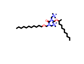 CCCCCCCCCCCOCN(C[N+](C)(C)C)C(=O)N(COC(C)CCCCCCCCC)C[N+](C)(C)C